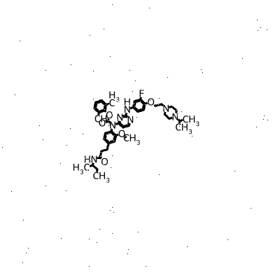 CCC(C)NC(=O)CCc1ccc(N(C(=O)Oc2c(C)cccc2C)c2ccnc(Nc3ccc(OCCN4CCN(C(C)C)CC4)c(F)c3)n2)c(OC)c1